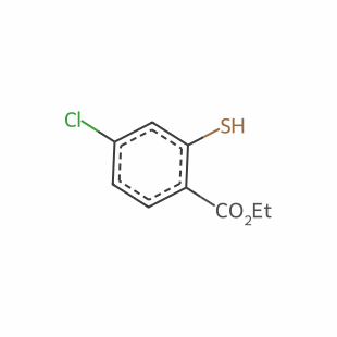 CCOC(=O)c1ccc(Cl)cc1S